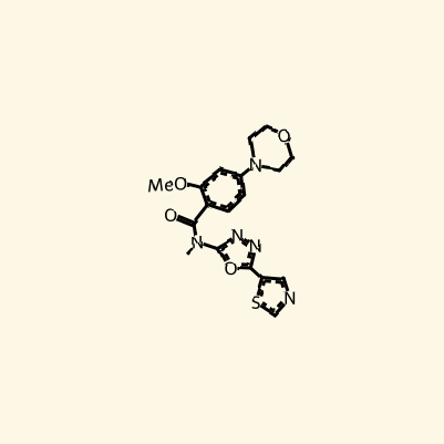 COc1cc(N2CCOCC2)ccc1C(=O)N(C)c1nnc(-c2cncs2)o1